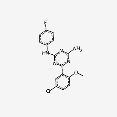 COc1ccc(Cl)cc1-c1nc(N)nc(Nc2ccc(F)cc2)n1